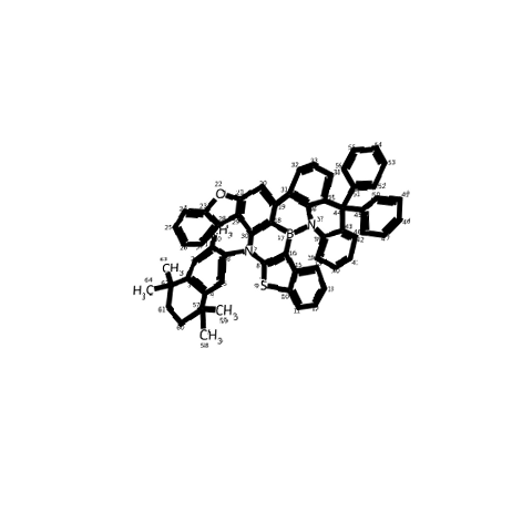 Cc1cc2c(cc1N1c3sc4ccccc4c3B3c4c(cc5oc6ccccc6c5c41)-c1cccc4c1N3c1ccccc1C4(c1ccccc1)c1ccccc1)C(C)(C)CCC2(C)C